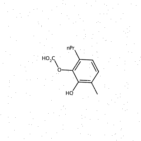 CCCc1ccc(C)c(O)c1OC(=O)O